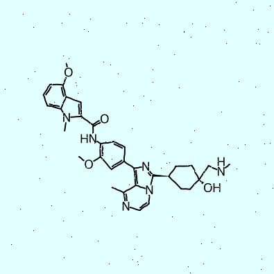 CNC[C@]1(O)CC[C@@H](c2nc(-c3ccc(NC(=O)c4cc5c(OC)cccc5n4C)c(OC)c3)c3c(C)nccn32)CC1